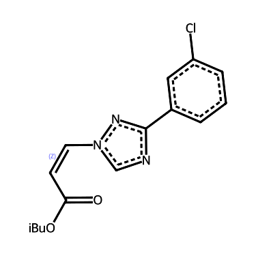 CC(C)COC(=O)/C=C\n1cnc(-c2cccc(Cl)c2)n1